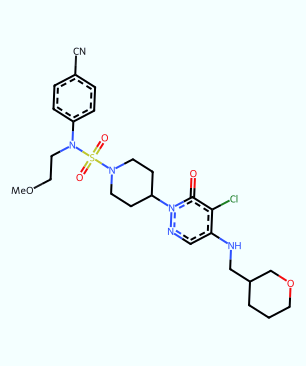 COCCN(c1ccc(C#N)cc1)S(=O)(=O)N1CCC(n2ncc(NCC3CCCOC3)c(Cl)c2=O)CC1